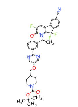 C[C@@H](c1cccc(-c2ncc(OCC3CCN(C(=O)OC(C)(C)C)CC3)cn2)c1)n1c2c(cc(F)c1=O)-c1cc(C#N)ccc1C2(F)F